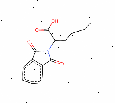 [CH2]CCCC(C(=O)O)N1C(=O)c2ccccc2C1=O